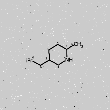 CC(C)CC1CCC(C)NC1